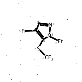 CCn1n[c]c(F)c1SC(F)(F)F